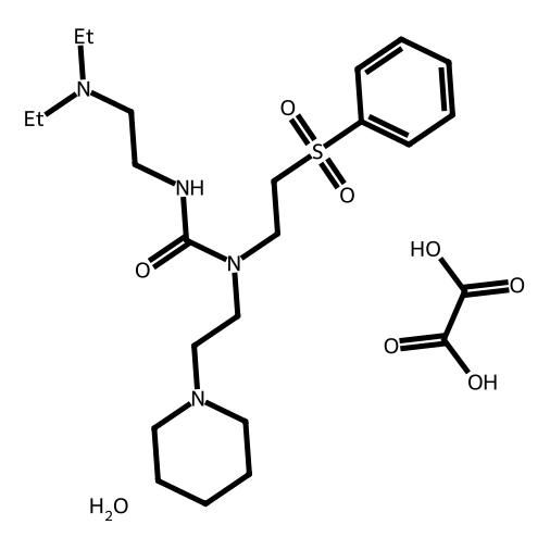 CCN(CC)CCNC(=O)N(CCN1CCCCC1)CCS(=O)(=O)c1ccccc1.O.O=C(O)C(=O)O